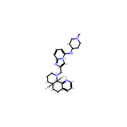 CN1CCC(Nc2cccc3nc(CN4CCC[C@H]5CCc6cccnc6[C@H]54)cn23)CC1